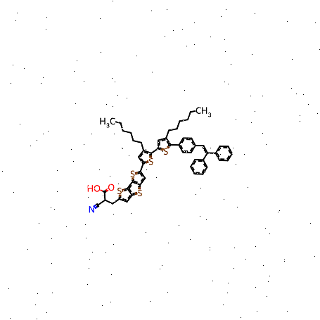 CCCCCCc1cc(-c2sc(-c3cc4sc5cc(CC(C#N)C(=O)O)sc5c4s3)cc2CCCCCC)sc1-c1ccc(C=C(c2ccccc2)c2ccccc2)cc1